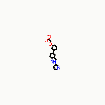 COC(=O)COc1cccc(-c2ccc3nn(-c4cccnc4)cc3c2)c1